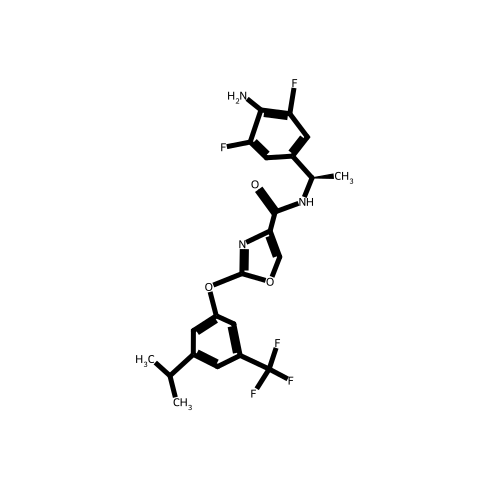 CC(C)c1cc(Oc2nc(C(=O)N[C@H](C)c3cc(F)c(N)c(F)c3)co2)cc(C(F)(F)F)c1